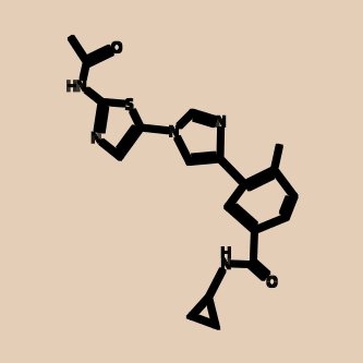 CC(=O)Nc1ncc(-n2cnc(-c3cc(C(=O)NC4CC4)ccc3C)c2)s1